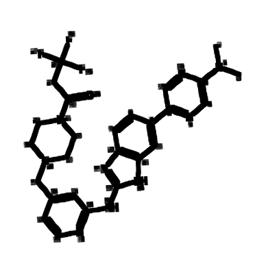 CN(C)c1cnc(-c2ccc3nc(Nc4cc(CN5CCN(C(=O)CC(F)(F)F)CC5)ccn4)[nH]c3c2)cn1